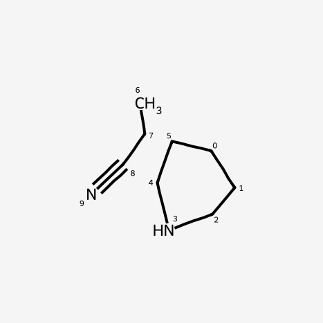 C1CCNCC1.CCC#N